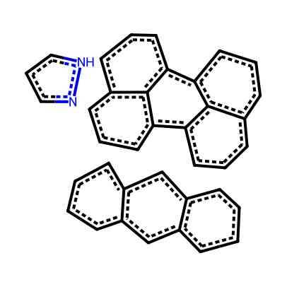 c1cc2cccc3c4cccc5cccc(c(c1)c23)c54.c1ccc2cc3ccccc3cc2c1.c1cn[nH]c1